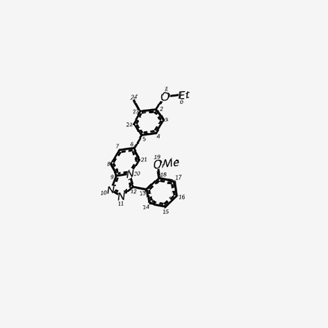 CCOc1ccc(-c2ccc3nnc(-c4ccccc4OC)n3c2)cc1C